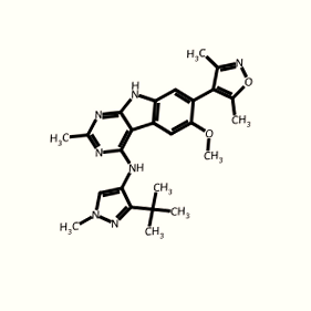 COc1cc2c(cc1-c1c(C)noc1C)[nH]c1nc(C)nc(Nc3cn(C)nc3C(C)(C)C)c12